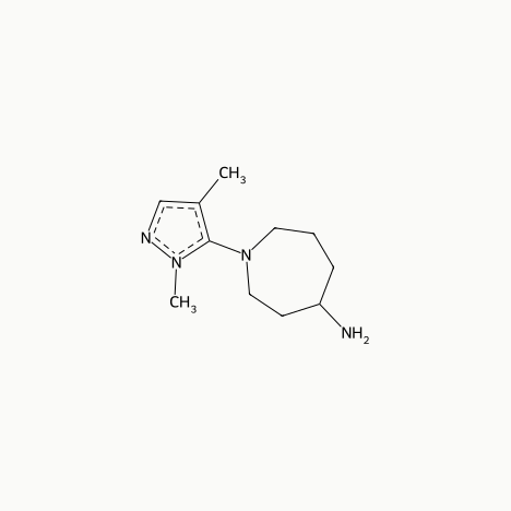 Cc1cnn(C)c1N1CCCC(N)CC1